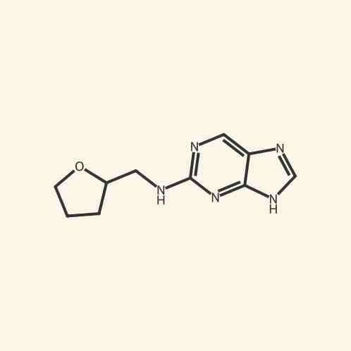 c1nc2cnc(NCC3CCCO3)nc2[nH]1